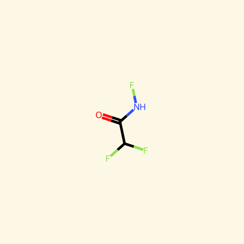 O=C(NF)C(F)F